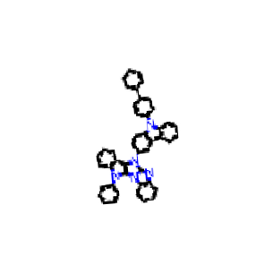 c1ccc(-c2ccc(-n3c4ccccc4c4cc(-n5c6c7ccccc7n(-c7ccccc7)c6n6c7ccccc7nc56)ccc43)cc2)cc1